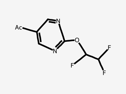 CC(=O)c1cnc(OC(F)C(F)F)nc1